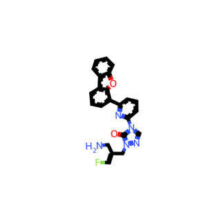 NC/C(=C\F)Cn1ncn(-c2cccc(-c3cccc4c3oc3ccccc34)n2)c1=O